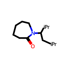 CC(C)CC(C(C)C)N1CCCCCC1=O